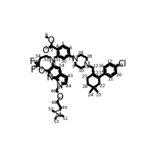 COC(=O)c1ccc(N2CCN(CC3=C(c4ccc(Cl)cc4)CC(C)(C)CC3)CC2)cc1N1CCC(F)(F)Oc2nc3c(ccn3COCC[Si](C)(C)C)cc21